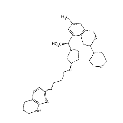 Cc1cc2c(c([C@H](C(=O)O)N3CC[C@@H](OCCCCc4ccc5c(n4)NCCC5)C3)c1)CC(C1CCOCC1)OC2